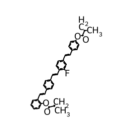 C=C(C)C(=O)Oc1ccc(/C=C/c2ccc(/C=C/c3ccc(/C=C/c4ccccc4OC(=O)C(=C)C)cc3)c(F)c2)cc1